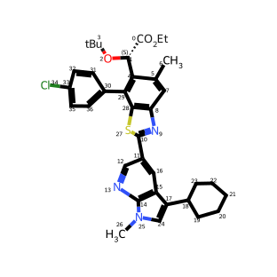 CCOC(=O)[C@@H](OC(C)(C)C)c1c(C)cc2nc(-c3cnc4c(c3)c(C3CCCCC3)cn4C)sc2c1-c1ccc(Cl)cc1